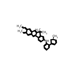 C=C/C=c1/cc2cc3c(cc2c/c1=C/C)-c1ccc(Nc2ccccc2C2=CC=C[C@H](C)C2)cc1C3(C)C